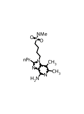 CCCc1nc2c(N)nc(C)c(C)c2n1CCCCS(=O)(=O)NC